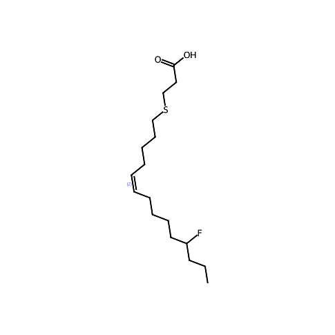 CCCC(F)CCCC/C=C\CCCCSCCC(=O)O